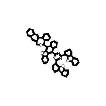 c1ccc2c(c1)-c1cc3ccccc3cc1CCC2c1c2ccccc2c(-c2nc(-c3cccc4c3oc3ccccc34)nc(-c3cccc4c3oc3ccccc34)n2)c2c1oc1ccccc12